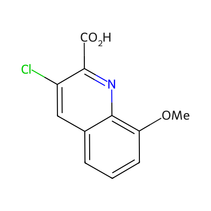 COc1cccc2cc(Cl)c(C(=O)O)nc12